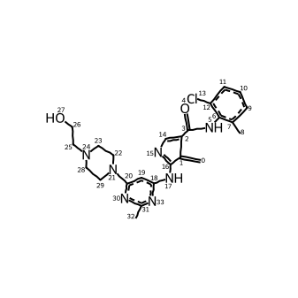 C=C1C(C(=O)Nc2c(C)cccc2Cl)=CN=C1Nc1cc(N2CCN(CCO)CC2)nc(C)n1